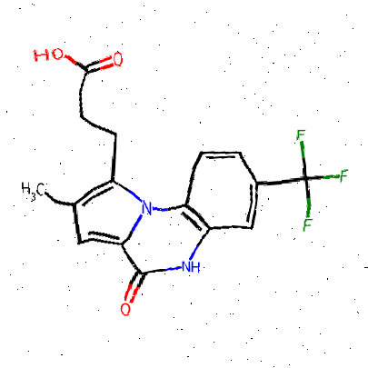 Cc1cc2c(=O)[nH]c3cc(C(F)(F)F)ccc3n2c1CCC(=O)O